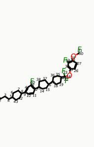 CCCCCC1CCC(c2ccc(C3CCC(C4CCC(C(F)(F)Oc5ccc(OCF)c(F)c5)CC4)CC3)c(F)c2)CC1